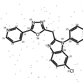 Clc1ccc2nc(Cc3nnc(-c4cccnc4)o3)n(-c3ccccc3)c2c1